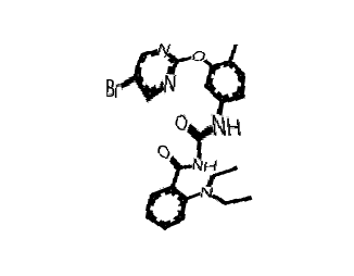 CCN(CC)c1ccccc1C(=O)NC(=O)Nc1ccc(C)c(Oc2ncc(Br)cn2)c1